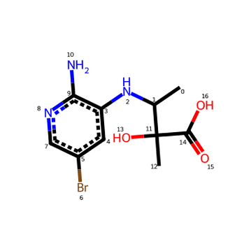 CC(Nc1cc(Br)cnc1N)C(C)(O)C(=O)O